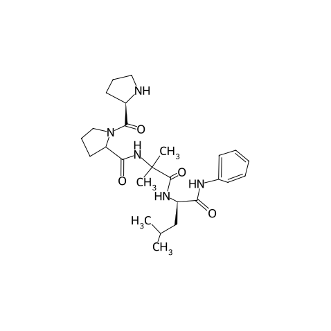 CC(C)C[C@@H](NC(=O)C(C)(C)NC(=O)C1CCCN1C(=O)[C@H]1CCCN1)C(=O)Nc1ccccc1